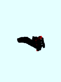 CCCCCCCCCCCC(=O)N[C@@H](CCC(=O)NCCCC[C@H](NC(=O)CCc1cn(CCCCC(C)CC)nn1)C(=O)NCCOCCOCCOCCOCCOCCOCCOCCOCCOCCOCCOCCOCCC(=O)C(C)(C)C)C(=O)O